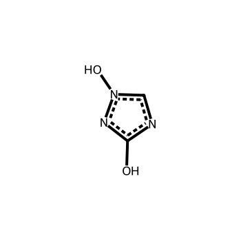 Oc1ncn(O)n1